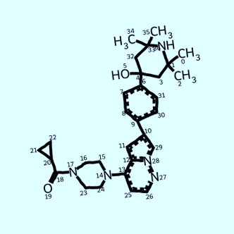 CC1(C)CC(O)(c2ccc(-c3cc4c(N5CCN(C(=O)C6CC6)CC5)ccnn4c3)cc2)CC(C)(C)N1